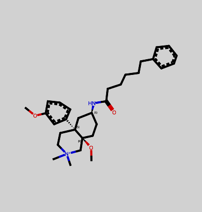 COc1cccc([C@@]23CC[N+](C)(C)C[C@@]2(OC)CC[C@H](NC(=O)CCCCCc2ccccc2)C3)c1